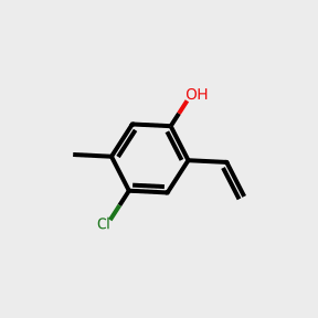 C=Cc1cc(Cl)c(C)cc1O